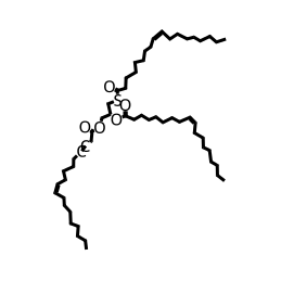 CCCCCCCC/C=C\CCCCCCCC(=O)OCC(CSC(=O)CCCCCCC/C=C\CCCCCCCC)OC(=O)CCCCCCC/C=C\CCCCCCCC